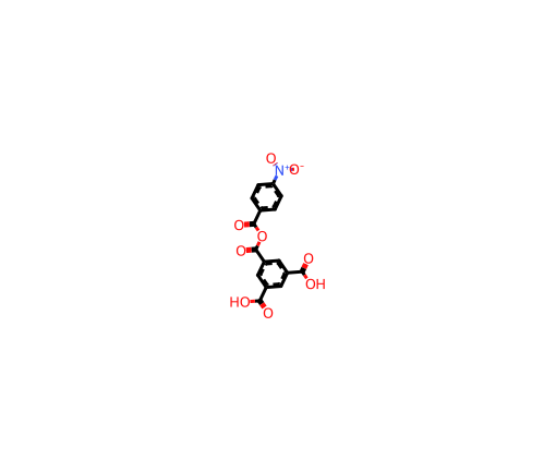 O=C(O)c1cc(C(=O)O)cc(C(=O)OC(=O)c2ccc([N+](=O)[O-])cc2)c1